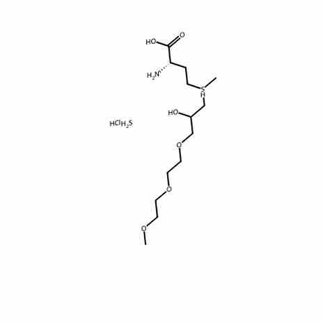 COCCOCCOCC(O)C[SH](C)CC[C@H](N)C(=O)O.Cl.S